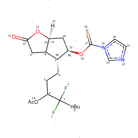 CCCCC(F)(F)C(CC[C@@H]1C2CC(=O)O[C@H]2C[C@H]1OC(=S)n1ccnc1)OC(C)=O